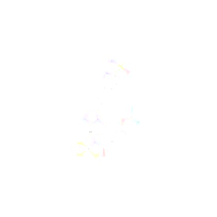 CS(=N)(=O)c1ccc(-c2ccc3nc4n(c3c2)C2C[C@H]4N(C(S)(S)S)C(=O)c3cccc(OC(F)F)c32)cn1